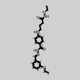 CCONC(=O)CCCNc1ccc(C(=O)N/N=C/c2cccc(OCC)c2)cc1